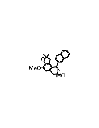 COc1cc2c(c3c1OC(C)(C)C3)C(c1ccc3ccccc3c1)=NC(C)(C)C2.Cl